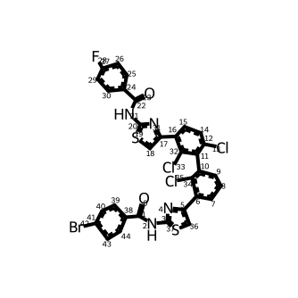 O=C(Nc1nc(-c2cccc(-c3c(Cl)ccc(-c4csc(NC(=O)c5ccc(F)cc5)n4)c3Cl)c2Cl)cs1)c1ccc(Br)cc1